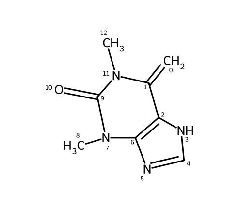 C=C1c2[nH]cnc2N(C)C(=O)N1C